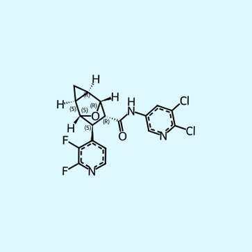 O=C(Nc1cnc(Cl)c(Cl)c1)[C@H]1[C@@H]2O[C@@H]([C@H]3C[C@H]32)[C@@H]1c1ccnc(F)c1F